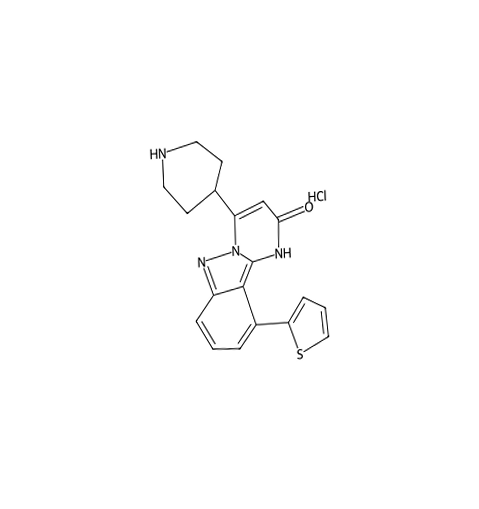 Cl.O=c1cc(C2CCNCC2)n2nc3cccc(-c4cccs4)c3c2[nH]1